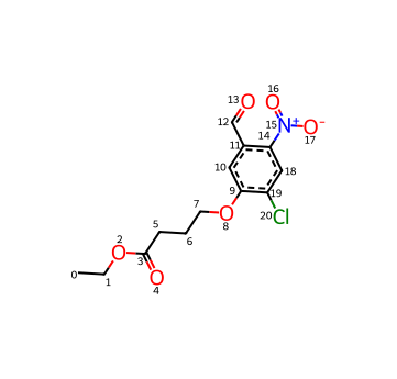 CCOC(=O)CCCOc1cc(C=O)c([N+](=O)[O-])cc1Cl